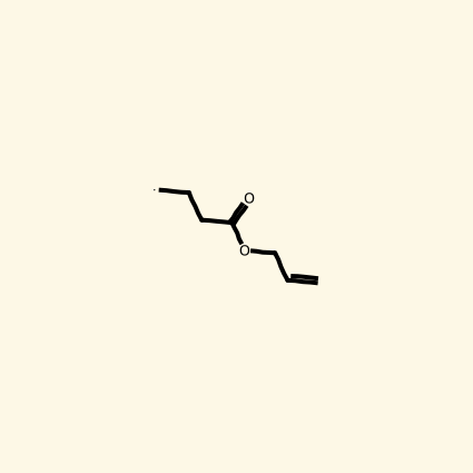 [CH2]CCC(=O)OCC=C